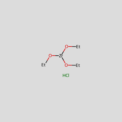 CC[O][Zr]([O]CC)[O]CC.Cl